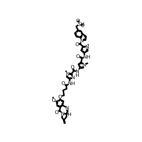 C=C1C[C@H]2C=Nc3cc(OCCCC(=O)Nc4cn(C)c(C(=O)Nc5cc(C(=O)Nc6cc(C(=O)n7ccc8cc(C[SH](=O)=O)ccc87)n(C)c6)n(C)c5)n4)c(OC)cc3C(=O)N2C1